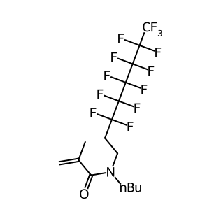 C=C(C)C(=O)N(CCCC)CCC(F)(F)C(F)(F)C(F)(F)C(F)(F)C(F)(F)C(F)(F)F